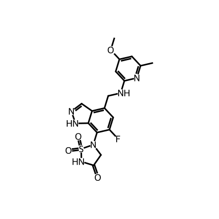 COc1cc(C)nc(NCc2cc(F)c(N3CC(=O)NS3(=O)=O)c3[nH]ncc23)c1